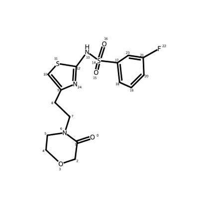 O=C1COCCN1CCc1csc(NS(=O)(=O)c2cccc(F)c2)n1